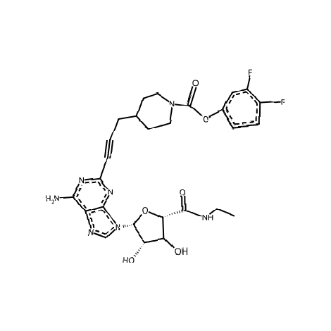 CCNC(=O)[C@H]1O[C@@H](n2cnc3c(N)nc(C#CCC4CCN(C(=O)Oc5ccc(F)c(F)c5)CC4)nc32)[C@@H](O)C1O